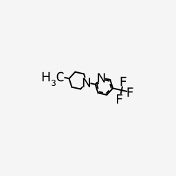 CC1CCN(c2ccc(C(F)(F)F)cn2)CC1